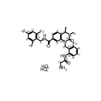 CC1c2ccc(C(=O)NCc3c(F)cc(F)cc3F)cc2N(Cc2c(F)cccc2NC(=O)CN)C(=O)N1C.Cl.Cl